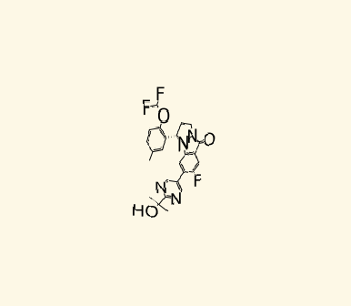 Cc1ccc(OC(F)F)c([C@@H]2CCn3c(=O)c4cc(F)c(-c5cnc(C(C)(C)O)nc5)cc4n32)c1